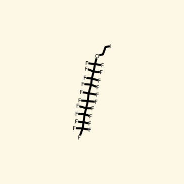 FC(F)(F)C(F)(F)C(F)(F)C(F)(F)C(F)(F)C(F)(F)C(F)(F)C(F)(F)C(F)(F)C(F)(F)OCCI